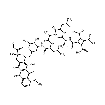 COc1cccc2c1C(=O)c1c(O)c3c(c(O)c1C2=O)CC(O)(C(=O)CO)CC3OC1CC(NC(=O)C(CC(C)C)NC(=O)C(C)NC(=O)C(CC(C)C)NC(=O)C(C)NC(=O)C2C(C(=O)O)C(C(=O)O)C2C(=O)O)C(O)C(C)O1